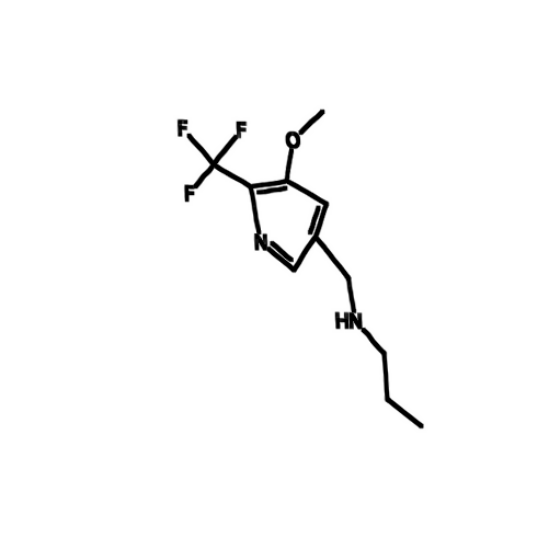 CCCNCc1cnc(C(F)(F)F)c(OC)c1